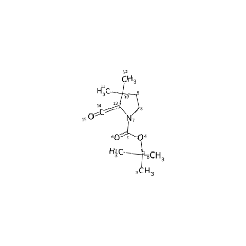 CC(C)(C)OC(=O)N1CCC(C)(C)C1=C=O